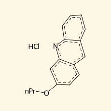 CCCOc1ccc2cc3ccccc3nc2c1.Cl